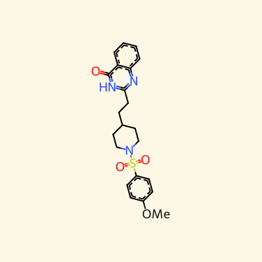 COc1ccc(S(=O)(=O)N2CCC(CCc3nc4ccccc4c(=O)[nH]3)CC2)cc1